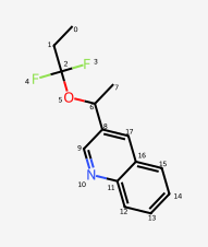 CCC(F)(F)OC(C)c1cnc2ccccc2c1